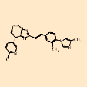 Cc1cn(-c2ccc(/C=C/c3nc4n(n3)CCC[C@H]4c3ccc(Cl)nc3)cc2C)cn1